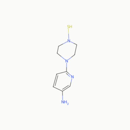 Nc1ccc(N2CCN(S)CC2)nc1